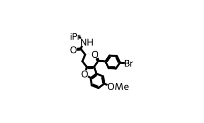 COc1ccc2oc(CCC(=O)NC(C)C)c(C(=O)c3ccc(Br)cc3)c2c1